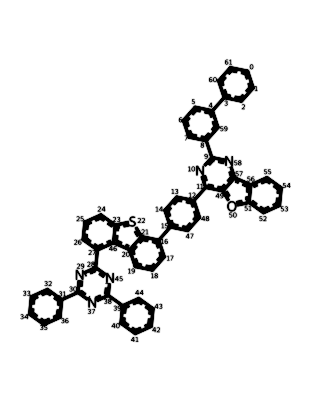 c1ccc(-c2cccc(-c3nc(-c4ccc(-c5cccc6c5sc5cccc(-c7nc(-c8ccccc8)nc(-c8ccccc8)n7)c56)cc4)c4oc5ccccc5c4n3)c2)cc1